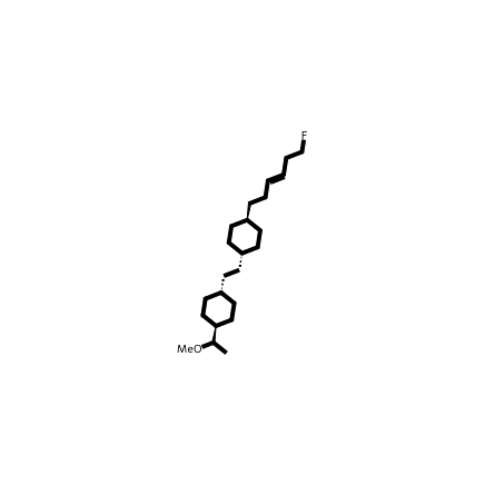 COC(C)[C@H]1CC[C@H](CC[C@H]2CC[C@H](CCC=CCCF)CC2)CC1